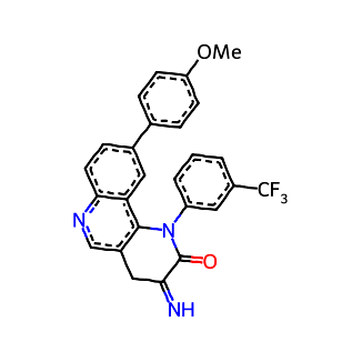 COc1ccc(-c2ccc3ncc4c(c3c2)N(c2cccc(C(F)(F)F)c2)C(=O)C(=N)C4)cc1